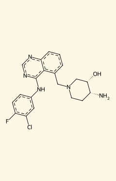 N[C@@H]1CCN(Cc2cccc3ncnc(Nc4ccc(F)c(Cl)c4)c23)C[C@@H]1O